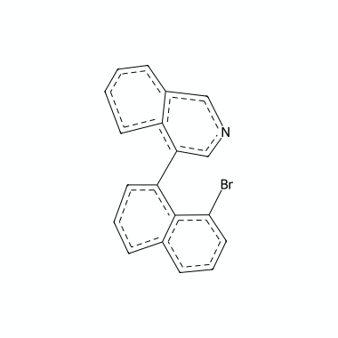 Brc1cccc2cccc(-c3cncc4ccccc34)c12